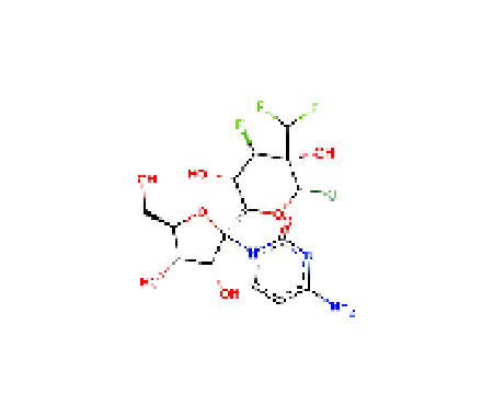 Nc1ccn([C@]2(C3OC(Cl)[C@](O)(C(F)F)[C@H](F)[C@H]3O)O[C@H](CO)[C@@H](O)[C@H]2O)c(=O)n1